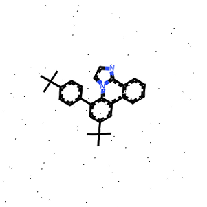 CC(C)(C)c1ccc(-c2cc(C(C)(C)C)cc3c4ccccc4c4nccn4c23)cc1